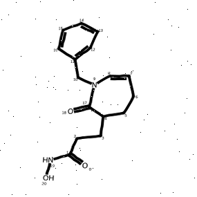 O=C(CCC1CCC=CN(Cc2ccccc2)C1=O)NO